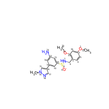 COc1ccc(CN[S+]([O-])c2cc(N)cc(-c3cnn(C)c3)c2)c(OC)c1